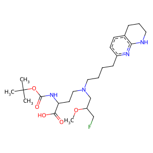 COC(CF)CN(CCCCc1ccc2c(n1)NCCC2)CCC(NC(=O)OC(C)(C)C)C(=O)O